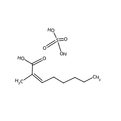 CCCCCC=C(C)C(=O)O.O=S(=O)(O)O